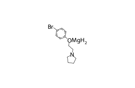 Brc1ccc(OCCN2CCCC2)cc1.[MgH2]